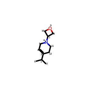 CC(C)C1=CCN(C2COC2)CC1